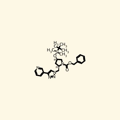 CC(C)(C)[Si](C)(C)O[C@@H]1C[C@H](Cn2cc(-c3cccnc3)nn2)N(C(=O)OCc2ccccc2)C1